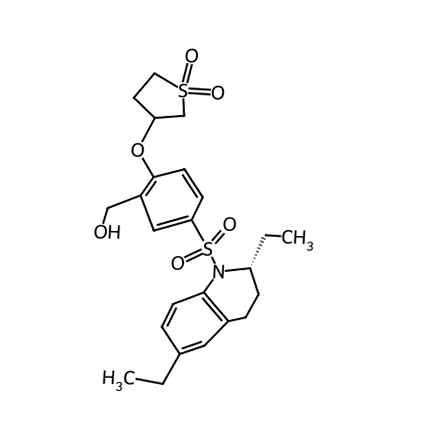 CCc1ccc2c(c1)CC[C@@H](CC)N2S(=O)(=O)c1ccc(OC2CCS(=O)(=O)C2)c(CO)c1